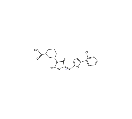 O=C(O)C1CCCC(N2C(=O)/C(=C\c3ccc(-c4ccccc4Cl)o3)SC2=S)C1